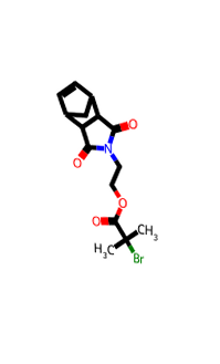 CC(C)(Br)C(=O)OCCN1C(=O)C2C3C=CC(C3)C2C1=O